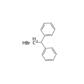 Br.CC(c1ccccc1)c1ccccc1